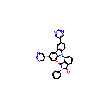 O=C1c2cccc(-n3c4ccc(-c5cncnc5)cc4c4cc(-c5cncnc5)ccc43)c2C(=O)N1c1ccccc1